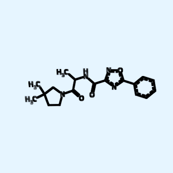 CC(NC(=O)c1noc(-c2ccccc2)n1)C(=O)N1CCC(C)(C)C1